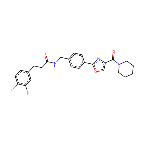 O=C(CCc1ccc(F)c(F)c1)NCc1ccc(-c2nc(C(=O)N3CCCCC3)co2)cc1